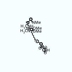 CNCc1ccccc1-c1csc(C(C)Nc2nc(C)nc3c(CCCCCCCN4CCC(c5ccc6c(c5)C(=O)N(C5CCC(=O)NC5=O)C6)CC4)c(OC)c(OC)cc23)c1